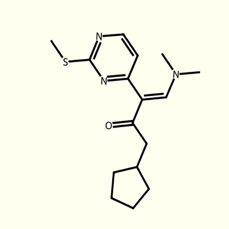 CSc1nccc(/C(=C\N(C)C)C(=O)CC2CCCC2)n1